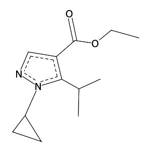 CCOC(=O)c1cnn(C2CC2)c1C(C)C